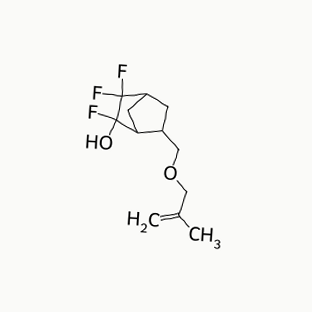 C=C(C)COCC1CC2CC1C(O)(F)C2(F)F